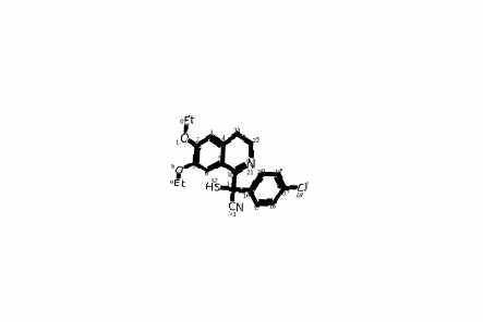 CCOc1cc2c(cc1OCC)C(C(S)(C#N)c1ccc(Cl)cc1)=NCC2